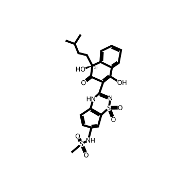 CC(C)CC[C@@]1(O)C(=O)C(C2=NS(=O)(=O)c3cc(NS(C)(=O)=O)ccc3N2)=C(O)c2ccccc21